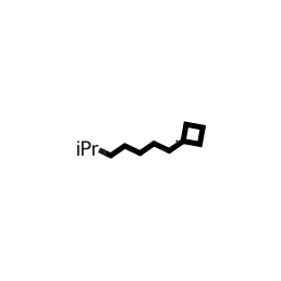 CC(C)CCCCC[C]1CCC1